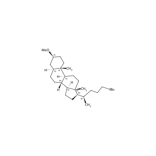 CO[C@H]1CC[C@@]2(C)[C@@H](CC[C@@H]3[C@@H]2CC[C@]2(C)[C@@H]([C@H](C)CCCC(C)(C)C)CC[C@@H]32)C1